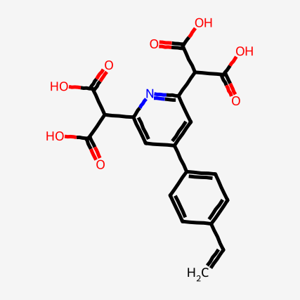 C=Cc1ccc(-c2cc(C(C(=O)O)C(=O)O)nc(C(C(=O)O)C(=O)O)c2)cc1